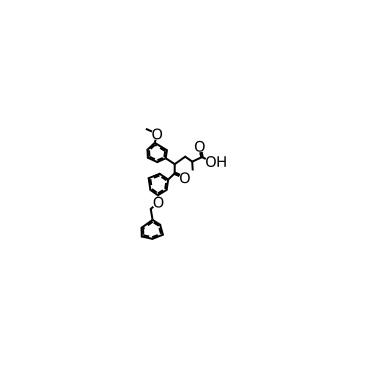 COc1cccc(C(CC(C)C(=O)O)C(=O)c2cccc(OCc3ccccc3)c2)c1